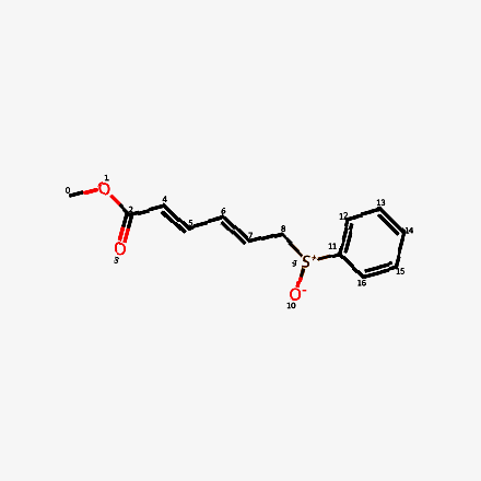 COC(=O)C=CC=CC[S+]([O-])c1ccccc1